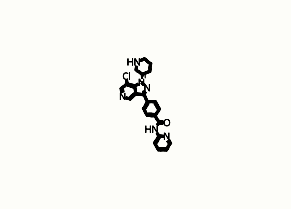 O=C(Nc1ccccn1)c1ccc(-c2nn([C@@H]3CCCNC3)c3c(Cl)cncc23)cc1